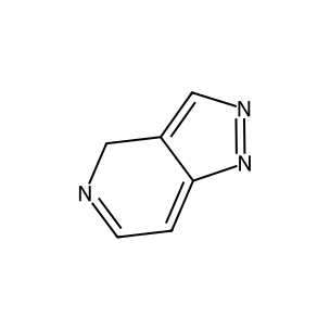 C1=NCC2=CN=NC2=C1